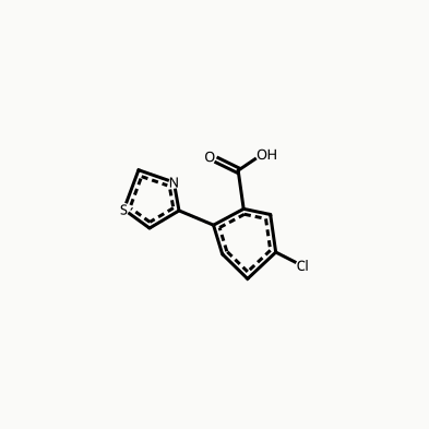 O=C(O)c1cc(Cl)ccc1-c1cscn1